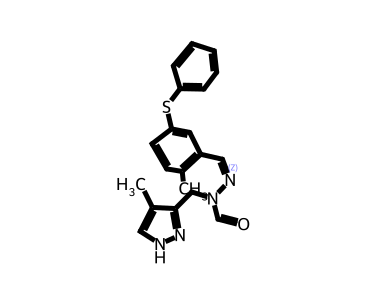 Cc1ccc(Sc2ccccc2)cc1/C=N\N(C=O)Cc1n[nH]cc1C